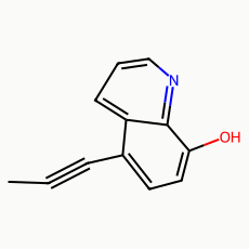 CC#Cc1ccc(O)c2ncccc12